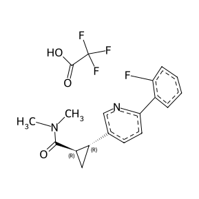 CN(C)C(=O)[C@@H]1C[C@H]1c1ccc(-c2ccccc2F)nc1.O=C(O)C(F)(F)F